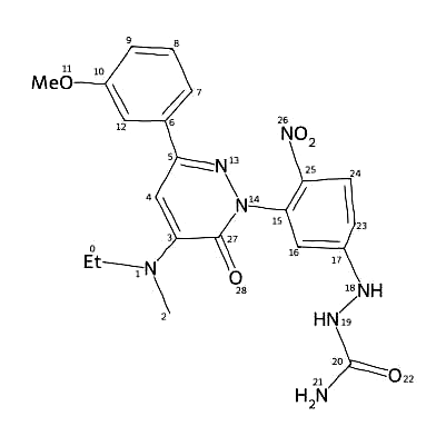 CCN(C)c1cc(-c2cccc(OC)c2)nn(-c2cc(NNC(N)=O)ccc2[N+](=O)[O-])c1=O